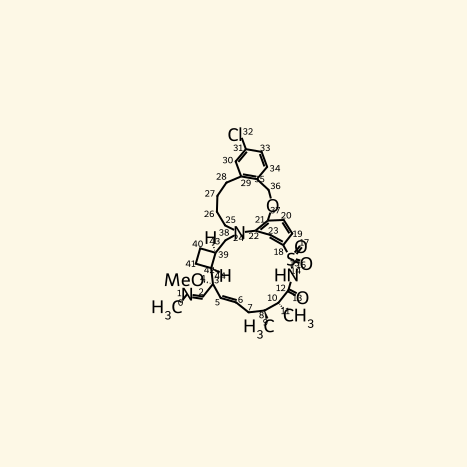 C/N=C/[C@]1(OC)/C=C/C[C@H](C)[C@@H](C)C(=O)NS(=O)(=O)c2ccc3c(c2)N(CCCCc2cc(Cl)ccc2CO3)C[C@@H]2CC[C@H]21